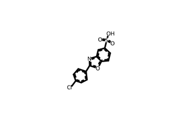 O=S(=O)(O)c1ccc2oc(-c3ccc(Cl)cc3)nc2c1